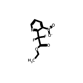 CCOC(=O)C(F)(F)c1ncccc1[N+](=O)[O-]